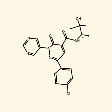 C[C@@H](NC(=O)c1cc(-c2ccc(Cl)cc2)nn(-c2cncnc2)c1=O)C(C)(C)O